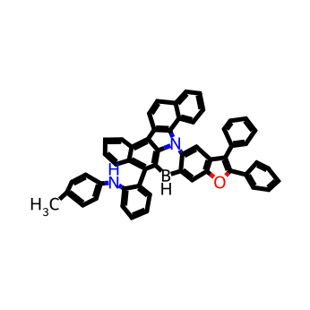 Cc1ccc(Nc2ccccc2-c2c3c4c(c5ccccc25)c2ccc5ccccc5c2n4-c2cc4c(-c5ccccc5)c(-c5ccccc5)oc4cc2B3)cc1